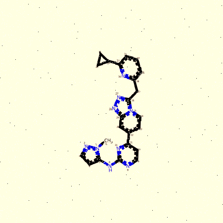 Cn1nccc1Nc1nccc(-c2ccn3c(Cc4cccc(C5CC5)n4)nnc3c2)n1